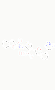 O=C(Nc1scc(-c2cc3cccc(-c4cn[nH]c4)c3o2)c1C(=O)O)c1cc2ccccc2o1